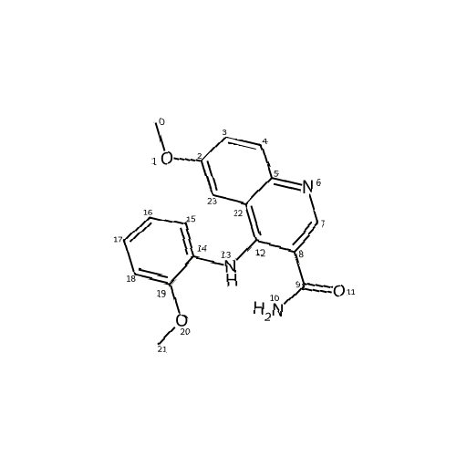 COc1ccc2ncc(C(N)=O)c(Nc3ccccc3OC)c2c1